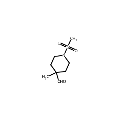 CC1(C=O)CCN(S(C)(=O)=O)CC1